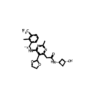 Cc1nc(CC(=O)N[C@H]2C[C@@H](O)C2)c(C2OCCO2)c(N[C@H](C)c2cccc(C(F)(F)F)c2C)n1